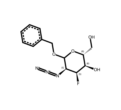 [N-]=[N+]=N[C@H]1C(OCc2ccccc2)O[C@H](CO)[C@@H](O)[C@H]1F